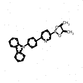 C=C1OB(c2ccc(-c3ccc(-n4c5ccccc5c5ccccc54)cc3)nc2)OC1=C